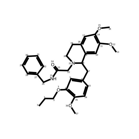 CCCOc1cc(CC2c3cc(OC)c(OC)cc3CCN2CC(=O)NCc2ccccc2)ccc1OC